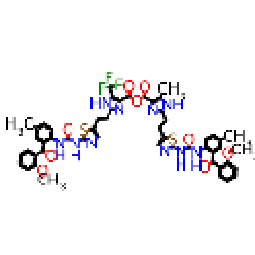 COc1ccccc1C(=O)c1cc(C)ccc1NC(=O)Nc1ncc(CCc2nc(C(=O)OC(=O)c3nc(CCc4cnc(NC(=O)Nc5ccc(C)cc5C(=O)c5ccccc5OC)s4)[nH]c3C(F)(F)F)c(C)[nH]2)s1